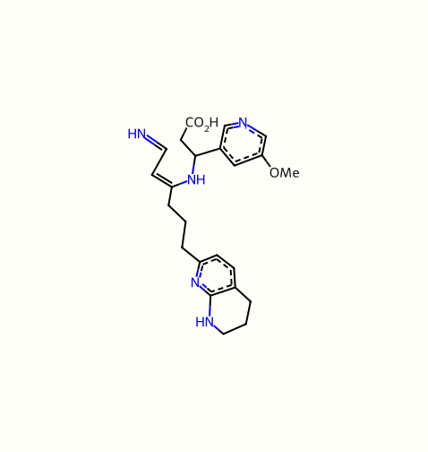 COc1cncc(C(CC(=O)O)N/C(=C\C=N)CCCc2ccc3c(n2)NCCC3)c1